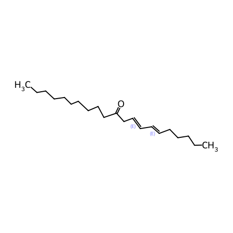 CCCCC/C=C/C=C/CC(=O)CCCCCCCCCC